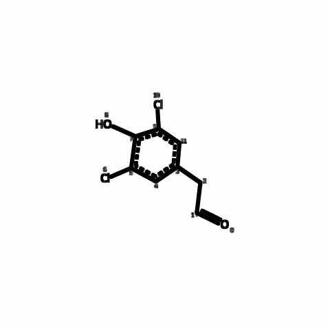 O=[C]Cc1cc(Cl)c(O)c(Cl)c1